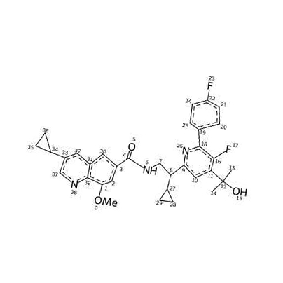 COc1cc(C(=O)NCC(c2cc(C(C)(C)O)c(F)c(-c3ccc(F)cc3)n2)C2CC2)cc2cc(C3CC3)cnc12